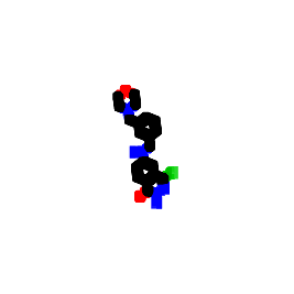 O=c1[nH]nc(Cl)c2cc(NCc3cccc(CN4CCOCC4)c3)ccc12